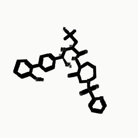 CSc1ccccc1-c1ccc([C@H](N[C@@H](CC(C)(C)F)C(=O)NC2CCCN(S(=O)(=O)c3ccccn3)CC2=O)C(F)(F)F)cc1